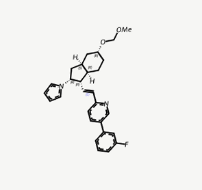 COCO[C@@H]1CC[C@@H]2[C@H](C1)C[C@@H](n1cccc1)[C@H]2/C=C/c1ccc(-c2cccc(F)c2)cn1